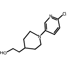 OCCC1CCN(c2ccc(Cl)nc2)CC1